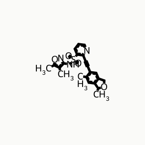 Cc1cc2c(cc1C#Cc1ncccc1S(=O)(=O)Nc1noc(C)c1C)COC2C